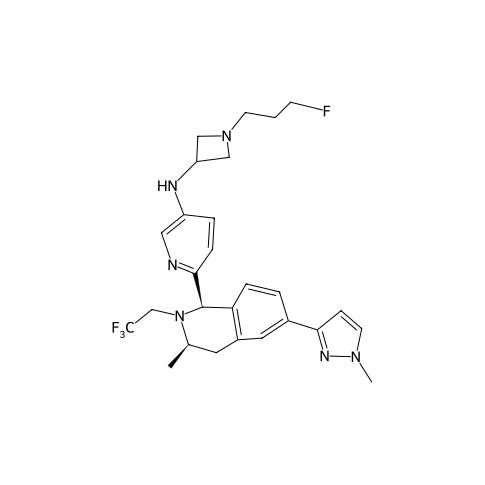 C[C@@H]1Cc2cc(-c3ccn(C)n3)ccc2[C@H](c2ccc(NC3CN(CCCF)C3)cn2)N1CC(F)(F)F